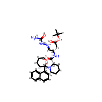 CC(C)(C)OC(=O)C[C@@H](C=NNC(N)=O)NC(=O)[C@@H]1CCCCN1C1(c2cccc3ccccc23)CCCCO1